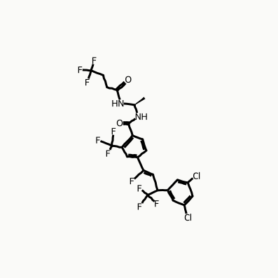 C[C@H](NC(=O)CCC(F)(F)F)NC(=O)c1ccc(/C(F)=C/C(c2cc(Cl)cc(Cl)c2)C(F)(F)F)cc1C(F)(F)F